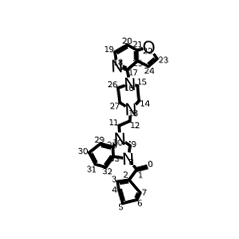 C=C(c1ccccc1)N1[CH]N(CCN2CCN(c3nccc4occc34)CC2)c2ccccc21